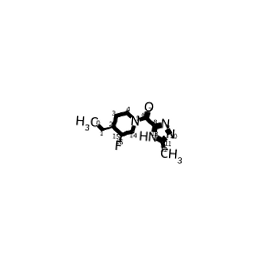 CC[C@H]1CCN(C(=O)c2nnc(C)[nH]2)C[C@H]1F